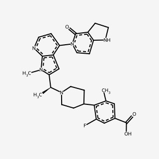 Cc1cc(C(=O)O)cc(F)c1C1CCN([C@@H](C)c2cc3c(-n4ccc5c(c4=O)CCN5)ccnc3n2C)CC1